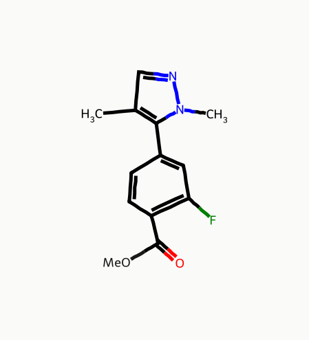 COC(=O)c1ccc(-c2c(C)cnn2C)cc1F